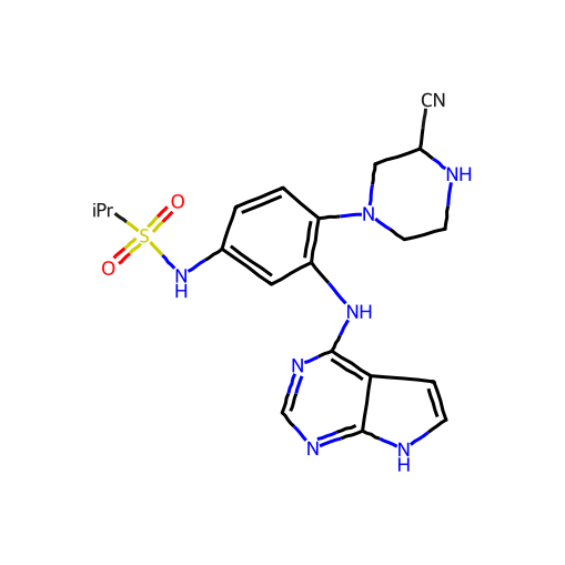 CC(C)S(=O)(=O)Nc1ccc(N2CCNC(C#N)C2)c(Nc2ncnc3[nH]ccc23)c1